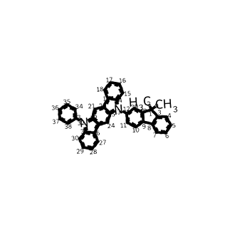 CC1(C)c2ccccc2-c2ccc(-n3c4ccccc4c4cc5c(cc43)c3ccccc3n5-c3ccccc3)cc21